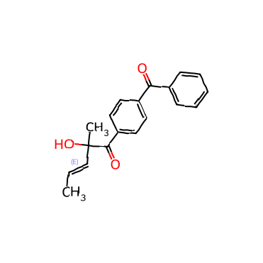 C/C=C/C(C)(O)C(=O)c1ccc(C(=O)c2ccccc2)cc1